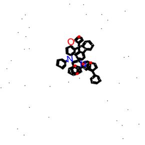 c1ccc(-c2cccc(N(c3ccccc3)c3ccc4c(c3)-c3ccccc3C43c4ccccc4Oc4ccc(N(c5ccccc5)c5cc6ccccc6c6ccccc56)cc43)c2)cc1